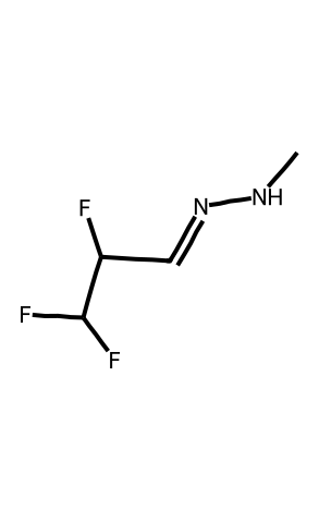 CNN=CC(F)C(F)F